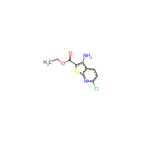 CCOC(=O)c1sc2nc(Cl)ccc2c1N